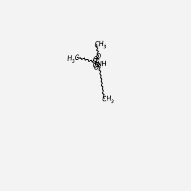 CCCCCCCCCCCCCCCCCC(=O)N[C@@H](CC(=O)OCCCCCC)C(=O)OCCCCCCCCCC